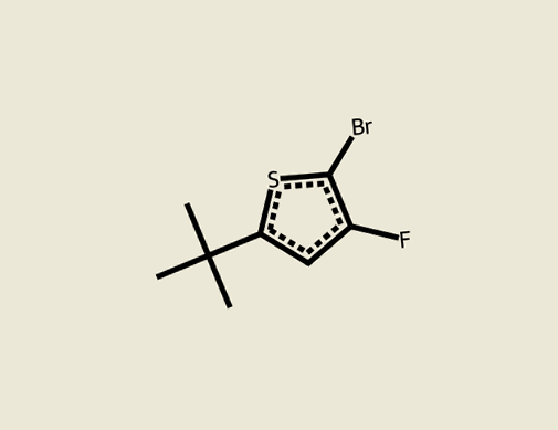 CC(C)(C)c1cc(F)c(Br)s1